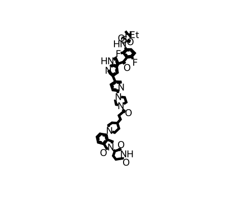 CCN(C)S(=O)(=O)Nc1ccc(F)c(C(=O)c2c[nH]c3ncc(-c4ccc(N5CCN(C(=O)CCC6CCN(c7cccc8c7CN(C7CCC(=O)NC7=O)C8=O)CC6)CC5)nc4)cc23)c1F